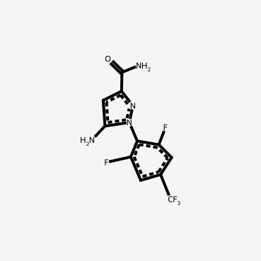 NC(=O)c1cc(N)n(-c2c(F)cc(C(F)(F)F)cc2F)n1